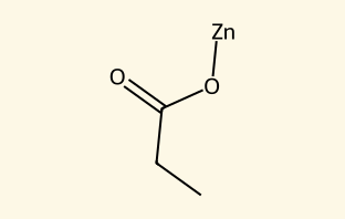 CCC(=O)[O][Zn]